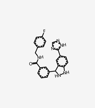 O=C(NCc1ccc(F)cc1)c1cccc(C2NNc3ccc(-c4ncn[nH]4)cc32)c1